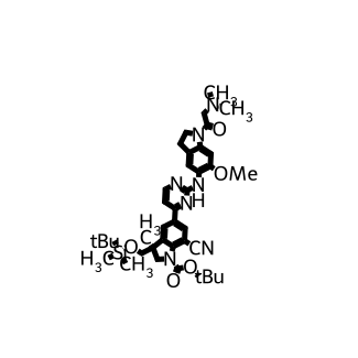 COc1cc2c(cc1Nc1nccc(-c3cc(C#N)c4c(c3)C(C)(CO[Si](C)(C)C(C)(C)C)CN4C(=O)OC(C)(C)C)n1)CCN2C(=O)CN(C)C